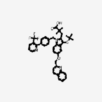 CC(C)(C)Sc1c(CC(C)(C)C(=O)O)n(Cc2ccc(-c3ncccc3C(F)(F)F)cc2)c2ccc(OCc3ccc4ccccc4n3)cc12